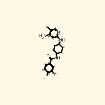 Cc1cnc(NC2CCC(NC(=O)c3ccc(F)c(Cl)c3)CC2)cc1N